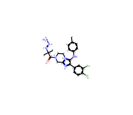 Cc1ccc(Nc2c(-c3ccc(Cl)c(F)c3)nc3n2CCN(C(=O)C(C)(C)N=NN)C3)cc1